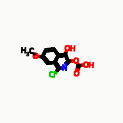 COc1ccc2c(O)c(OC(=O)O)nc(Cl)c2c1